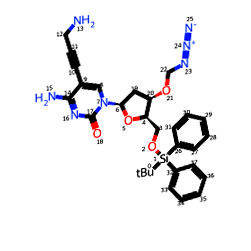 CC(C)(C)[Si](OC[C@H]1O[C@@H](n2cc(C#CCN)c(N)nc2=O)C[C@H]1OCN=[N+]=[N-])(c1ccccc1)c1ccccc1